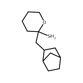 [SiH3]C1(CC2CC3CCC2C3)CCCCO1